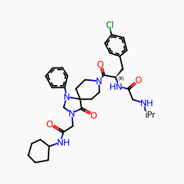 CC(C)NCC(=O)N[C@H](Cc1ccc(Cl)cc1)C(=O)N1CCC2(CC1)C(=O)N(CC(=O)NC1CCCCC1)CN2c1ccccc1